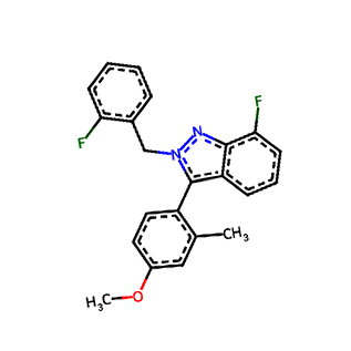 COc1ccc(-c2c3cccc(F)c3nn2Cc2ccccc2F)c(C)c1